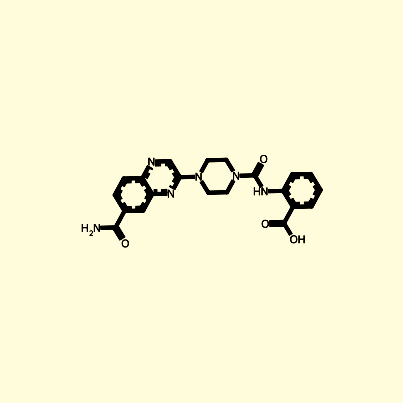 NC(=O)c1ccc2ncc(N3CCN(C(=O)Nc4ccccc4C(=O)O)CC3)nc2c1